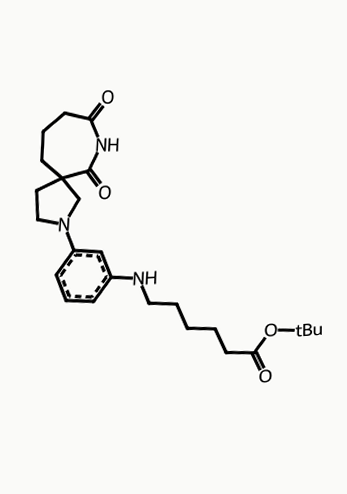 CC(C)(C)OC(=O)CCCCCNc1cccc(N2CCC3(CCCC(=O)NC3=O)C2)c1